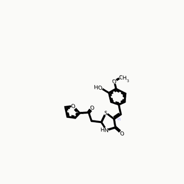 COc1ccc(/C=C2\SC(CC(=O)c3ccco3)NC2=O)cc1O